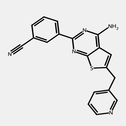 N#Cc1cccc(-c2nc(N)c3cc(Cc4cccnc4)sc3n2)c1